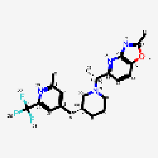 Cc1cc(C[C@H]2CCCN([C@H](C)c3ccc4oc(C)nc4n3)C2)cc(C(F)(F)F)n1